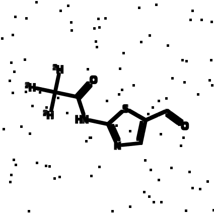 [2H]C([2H])([2H])C(=O)Nc1ncc(C=O)s1